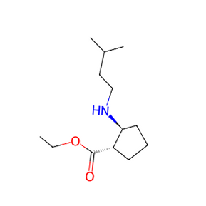 CCOC(=O)[C@H]1CCC[C@@H]1NCCC(C)C